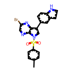 Cc1ccc(S(=O)(=O)n2cc(-c3ccc4[nH]ccc4c3)c3nc(Br)cnc32)cc1